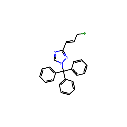 FCC=Cc1ncn(C(c2ccccc2)(c2ccccc2)c2ccccc2)n1